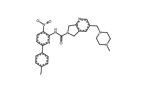 CN1CCN(Cc2cnc3c(c2)CN(C(=O)Nc2nc(-c4ccc(F)cc4)ccc2[N+](=O)[O-])C3)CC1